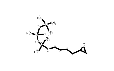 C[Si](C)(C)O[Si](C)(C)O[Si](C)(C)OCCCCC1CO1